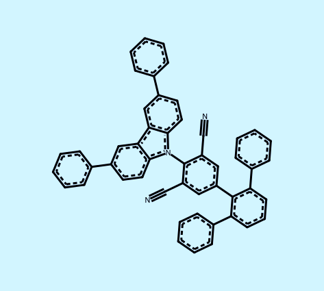 N#Cc1cc(-c2c(-c3ccccc3)cccc2-c2ccccc2)cc(C#N)c1-n1c2ccc(-c3ccccc3)cc2c2cc(-c3ccccc3)ccc21